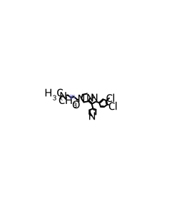 CN(C)C/C=C/C(=O)N1CCn2nc(-c3ccc(Cl)c(Cl)c3)c(-c3ccncc3)c2C1